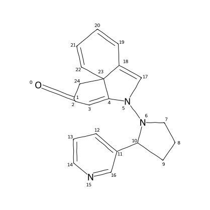 O=C1CC=C2N(N3CCCC3c3cccnc3)C=C3C=CC=CC32C1